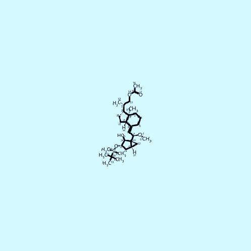 CO[C@H](/C=C1\CCC[C@]2(C)[C@@H]([C@H](C)COC(C)=O)CC[C@@H]12)[C@]12C[C@H]1C[C@H](O[Si](C)(C)C(C)(C)C)C2O